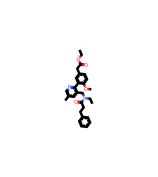 CCOC(=O)Cc1ccc(OC)c(-c2ncc(C)cc2CN(CC)C(=O)CCc2ccccc2)c1